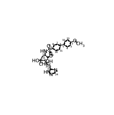 COc1ccc(-c2ccc(S(=O)(=O)NC(CC(C)(O)CCSc3ncn[nH]3)C(=O)O)cc2)cc1